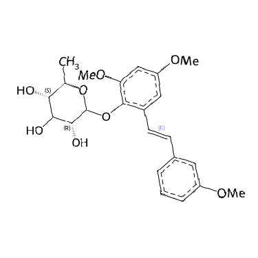 COc1cccc(/C=C/c2cc(OC)cc(OC)c2OC2OC(C)[C@@H](O)C(O)[C@H]2O)c1